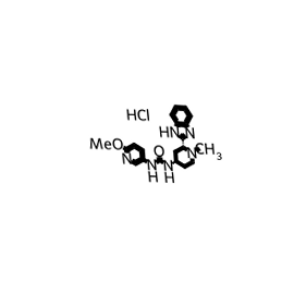 COc1ccc(NC(=O)N[C@@H]2CCN(C)[C@@H](c3nc4ccccc4[nH]3)C2)cn1.Cl